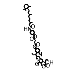 CCc1c2c(nc3ccc(OC(=O)CCC(=O)Oc4ccc(NC(=O)/C=C(C)/C=C/C=C(C)/C=C/C5=C(C)CCCC5(C)C)cc4)cc13)-c1cc3c(c(=O)n1C2)COC(=O)[C@]3(O)CC